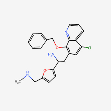 CNCc1ccc(C(N)Cc2cc(Cl)c3cccnc3c2OCc2ccccc2)o1